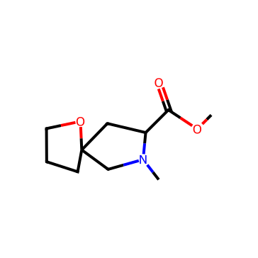 COC(=O)C1CC2(CCCO2)CN1C